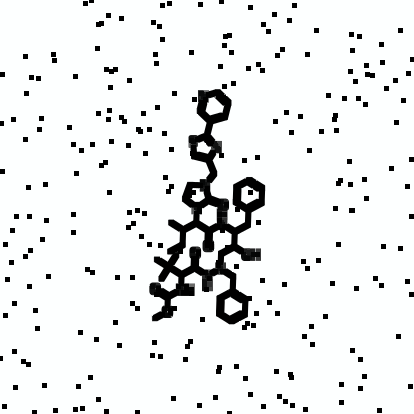 CCC(C)C(C(=O)NC(Cc1ccccc1)C(O)CN(Cc1ccccc1)NC(=O)C(NC(=O)OC)C(C)(C)C)N1CCN(Cc2csc(-c3cccnc3)n2)C1=O